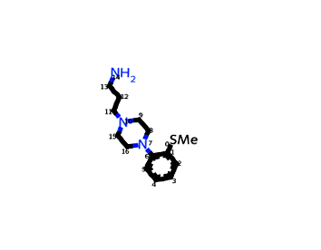 CSc1ccccc1N1CCN(CCCN)CC1